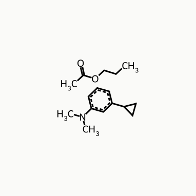 CCCOC(C)=O.CN(C)c1cccc(C2CC2)c1